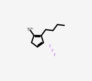 CCCCC1=[C]([Ti+3])CC=C1.[I-].[I-].[I-]